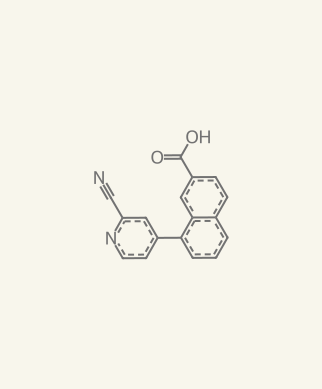 N#Cc1cc(-c2cccc3ccc(C(=O)O)cc23)ccn1